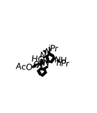 CCCNc1cc(N(Cc2ccccc2)/[N+](O)=N/OCOC(C)=O)c2ncn(C(C)C)c2c1